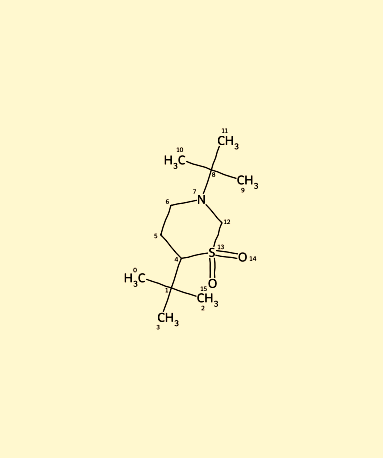 CC(C)(C)C1CCN(C(C)(C)C)CS1(=O)=O